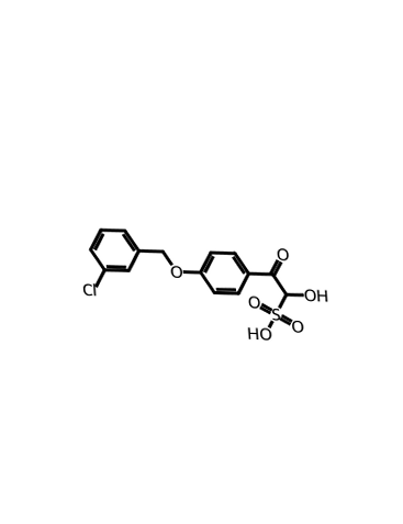 O=C(c1ccc(OCc2cccc(Cl)c2)cc1)C(O)S(=O)(=O)O